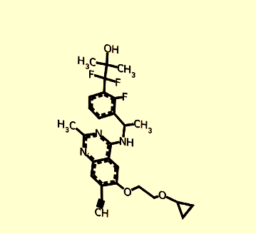 C#Cc1cc2nc(C)nc(NC(C)c3cccc(C(F)(F)C(C)(C)O)c3F)c2cc1OCCOC1CC1